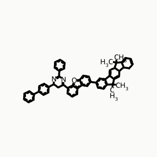 CC1(C)C2=CC3C4CC=CC=C4C(C)(C)C3C=C2c2cc(-c3ccc4oc5c(C6=NC(c7ccccc7)=NC(c7ccc(-c8ccccc8)cc7)C6)cccc5c4c3)ccc21